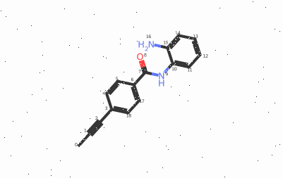 CC#Cc1ccc(C(=O)Nc2ccccc2N)cc1